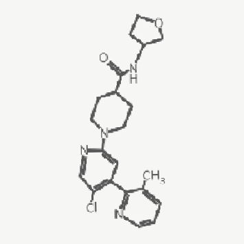 Cc1cccnc1-c1cc(N2CCC(C(=O)NC3CCOC3)CC2)ncc1Cl